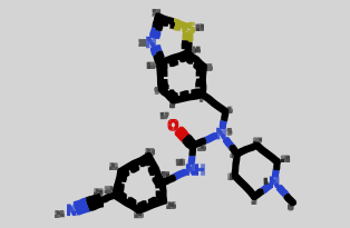 CN1CCC(N(Cc2ccc3ncsc3c2)C(=O)Nc2ccc(C#N)cc2)CC1